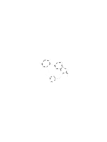 Cc1noc(Cn2c(=O)n(C)c3ncc(-c4ccc(F)c(C)c4F)cc32)n1